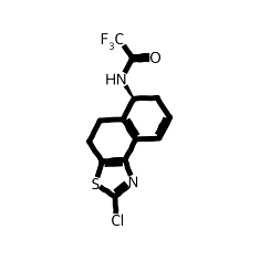 O=C(N[C@H]1CC=CC2=C1CCc1sc(Cl)nc12)C(F)(F)F